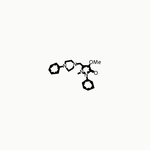 COc1c(CN2CCN(c3ccccc3)CC2)n(C)n(-c2ccccc2)c1=O